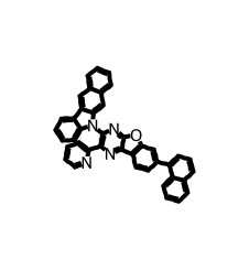 c1ccc(-c2nc3c(nc2-n2c4ccccc4c4cc5ccccc5cc42)oc2cc(-c4cccc5ccccc45)ccc23)nc1